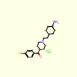 Cl.Cl.NC1CCC(CCN2CCC(C(=O)c3ccc(Cl)cc3)CC2)CC1